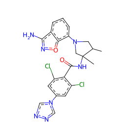 CC1CN(c2cccc3c(N)noc23)CC1(C)NC(=O)c1c(Cl)cc(-n2cnnc2)cc1Cl